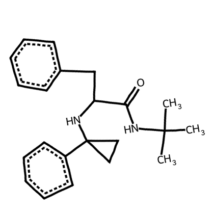 CC(C)(C)NC(=O)C(Cc1ccccc1)NC1(c2ccccc2)CC1